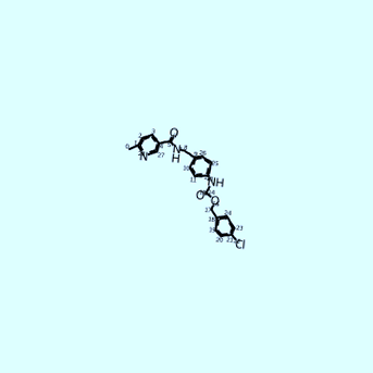 Cc1ccc(C(=O)NCc2ccc(NC(=O)OCc3ccc(Cl)cc3)cc2)cn1